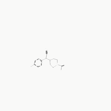 N#CC(c1ccc(Cl)cc1)C1CCN(C(=O)O)CC1